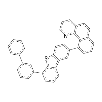 c1ccc(-c2cccc(-c3cccc4c3sc3ccc(-c5cccc6ccc7cccnc7c56)cc34)c2)cc1